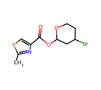 Cc1nc(C(=O)OC2CC(Br)CCO2)cs1